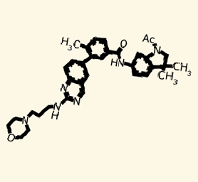 CC(=O)N1CC(C)(C)c2ccc(NC(=O)c3ccc(C)c(-c4ccc5nc(NCCCN6CCOCC6)ncc5c4)c3)cc21